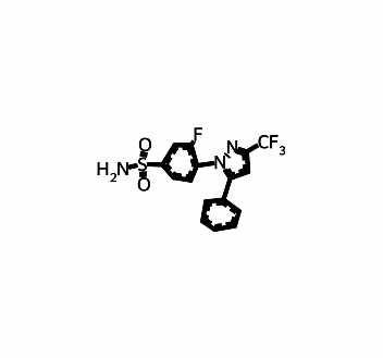 NS(=O)(=O)c1ccc(-n2nc(C(F)(F)F)cc2-c2ccccc2)c(F)c1